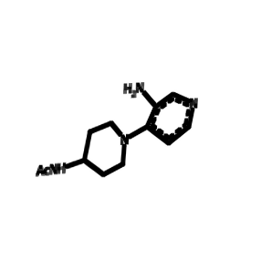 CC(=O)NC1CCN(c2ccncc2N)CC1